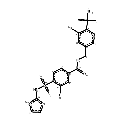 CC(C)(N)c1ccc(CNC(=O)c2ccc(S(=O)(=O)Nc3nccs3)c(F)c2)cc1F